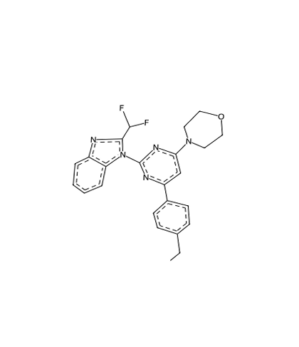 CCc1ccc(-c2cc(N3CCOCC3)nc(-n3c(C(F)F)nc4ccccc43)n2)cc1